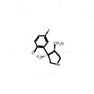 CCOC(=O)[C@H]1CNC[C@]1(c1cc(F)ccc1Cl)[N+](=O)[O-]